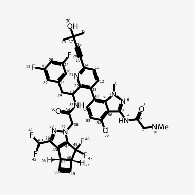 CNCC(=O)Nc1nn(C)c2c(-c3ccc(C#CC(C)(C)O)nc3C(Cc3cc(F)cc(F)c3)NC(=O)Cn3nc(C(F)F)c4c3C(F)(F)[C@@H]3C#C[C@H]43)ccc(Cl)c12